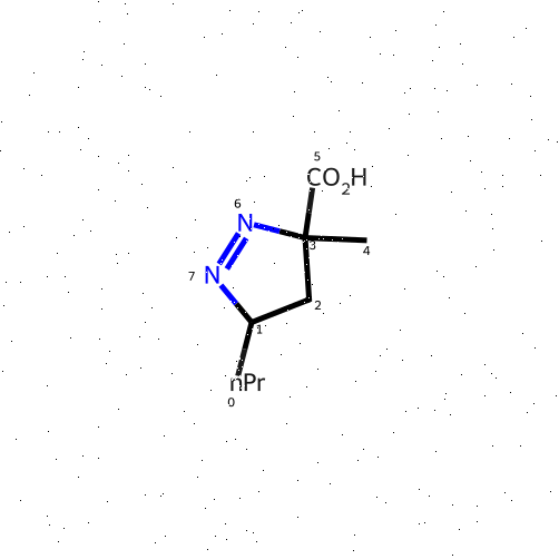 CCCC1CC(C)(C(=O)O)N=N1